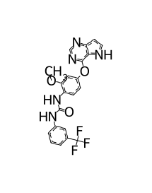 COc1cc(Oc2ncnc3cc[nH]c23)ccc1NC(=O)Nc1cccc(C(F)(F)F)c1